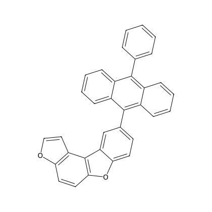 c1ccc(-c2c3ccccc3c(-c3ccc4oc5ccc6occc6c5c4c3)c3ccccc23)cc1